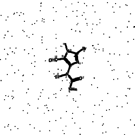 CCN(C(=O)NC)c1nc(Br)n(C)c1C=O